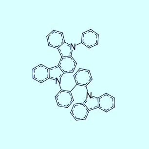 c1ccc(-n2c3ccccc3c3c4c5ccccc5n(-c5ccccc5-c5ccccc5-n5c6ccccc6c6ccccc65)c4ccc32)cc1